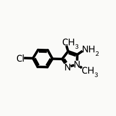 Cc1c(-c2ccc(Cl)cc2)nn(C)c1N